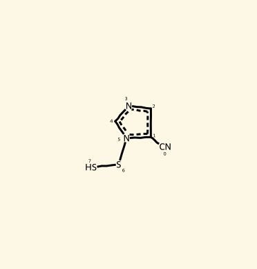 N#Cc1cncn1SS